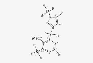 COc1c(C(C)(C)C2=CC([Si](C)(C)C)C(C)=C2)cc(C)cc1[Si](C)(C)C